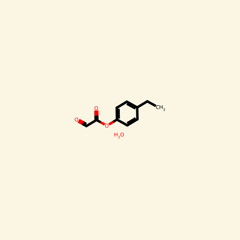 CCc1ccc(OC(=O)C=O)cc1.O